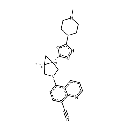 CN1CCC(c2nnc([C@]34CN(c5ccc(C#N)c6ncccc56)C[C@@]3(C)C4)o2)CC1